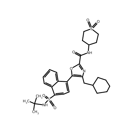 CC(C)(C)NS(=O)(=O)c1ccc(-c2oc(C(=O)NC3CCS(=O)(=O)CC3)nc2CC2CCCCC2)c2ccccc12